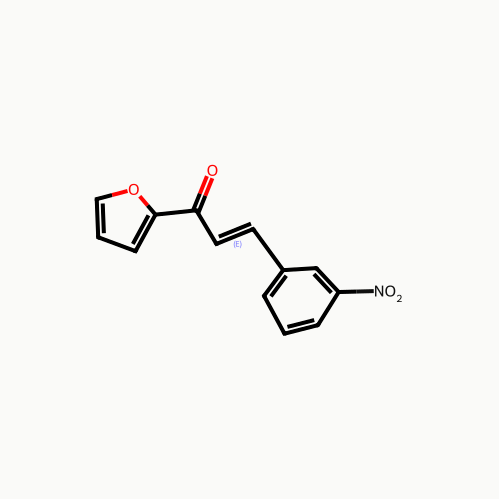 O=C(/C=C/c1cccc([N+](=O)[O-])c1)c1ccco1